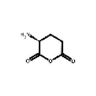 N[C@H]1CCC(=O)OC1=O